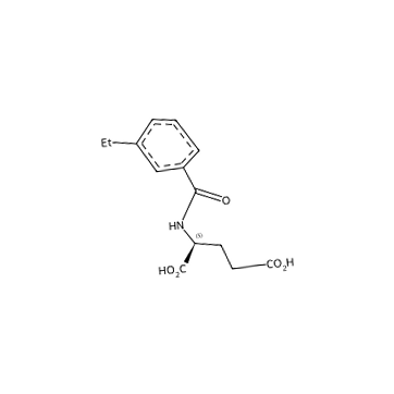 CCc1cccc(C(=O)N[C@@H](CCC(=O)O)C(=O)O)c1